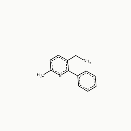 Cc1ccc(CN)c(-c2ccccc2)n1